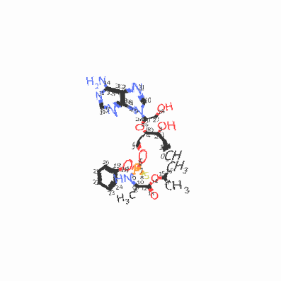 C#C[C@H](O)[C@@H](COP(=S)(N[C@@H](C)C(=O)OC(C)C)Oc1ccccc1)O[C@H](CO)n1cnc2c(N)ncnc21